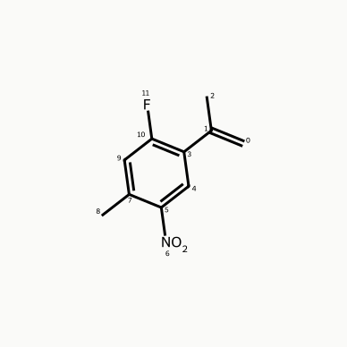 C=C(C)c1cc([N+](=O)[O-])c(C)cc1F